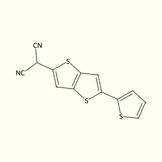 N#CC(C#N)c1cc2sc(-c3cccs3)cc2s1